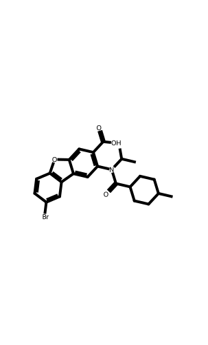 CC1CCC(C(=O)N(c2cc3c(cc2C(=O)O)oc2ccc(Br)cc23)C(C)C)CC1